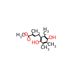 COC(=O)/C(C)=C/Cc1c(C)c(O)c(C)c(C)c1O